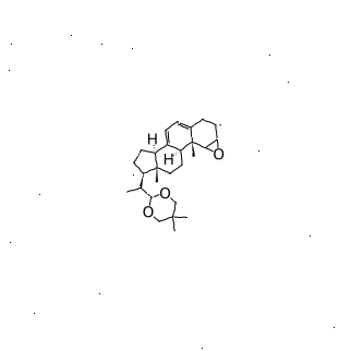 CC(C1OCC(C)(C)CO1)[C@H]1CC[C@H]2C3=CC=C4C[CH]C5OC5[C@]4(C)[C@H]3CC[C@]12C